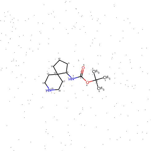 CC(C)(C)OC(=O)NC1CCCC12CCNCC2